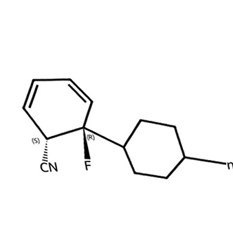 CCCCCCC1CCC([C@@]2(F)C=CC=C[C@H]2C#N)CC1